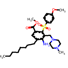 CCCCCCCCc1cc(C(=O)OC)c(S(=O)(=O)c2ccc(OC)cc2)c(CN2CCN(C)CC2)c1N